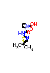 CC(C)c1cnc(NC(=O)[C@@H]2CCCN2C(=O)O)s1